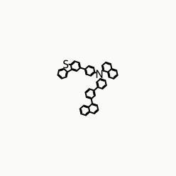 c1cc(-c2cccc(N(c3ccc(-c4ccc5sc6ccccc6c5c4)cc3)c3cccc4ccccc34)c2)cc(-c2cccc3ccccc23)c1